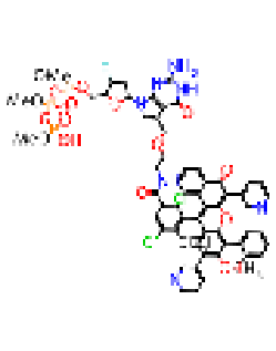 COP(=O)(O)OP(=O)(OC)OP(=O)(OC)OCC1OC(n2cc(COCCNC(=O)c3cc(Cl)c(C(=O)O)c(-c4c5c6ccccc6c(=O)c(-c6cccnc6)c-5oc5c(-c6ccccc6C)c(O)c(-c6cccnc6)cc45)c3Cl)c3c(=O)[nH]c(N)nc32)CC1F